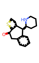 O=C1Cc2ccccc2C(=C2CCCCN2)c2ccsc21